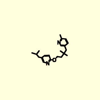 Cc1ccc(CC(C)(C)CCOc2ccc(CC(C)C)cn2)cn1